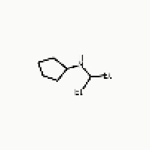 [CH2]CC(CC)NC1CCCC1